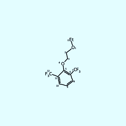 CCOCCOc1c(C(F)(F)F)cccc1C(F)(F)F